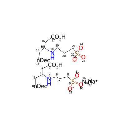 CCCCCCCCCCCC(CC(=O)O)NCCCS(=O)(=O)[O-].CCCCCCCCCCCC(CC(=O)O)NCCCS(=O)(=O)[O-].[Na+].[Na+]